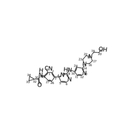 N#Cc1cc(-c2ccnc(Nc3ccnc(N4CCN(CCO)CC4)c3)n2)ccc1NC(=O)C1CC1